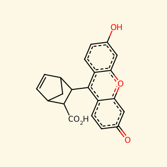 O=C(O)C1C2C=CC(C2)C1c1c2ccc(=O)cc-2oc2cc(O)ccc12